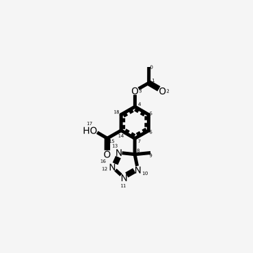 CC(=O)Oc1ccc(C2(C)N=NN=N2)c(C(=O)O)c1